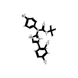 CC(C)(C)OC(=O)N(c1ccc(Br)cc1)c1nc(-c2ccc(Cl)cc2Cl)c[nH]1